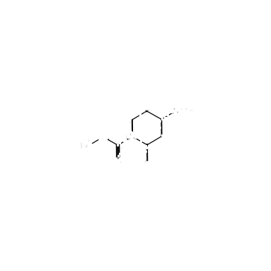 CNC1CC(C)N(C(=O)OC(C)(C)C)[C@H](C)C1